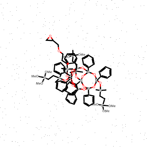 CO[Si](C)(CC[Si](C)(C)O[Si]1(c2ccccc2)O[Si]2(c3ccccc3)O[Si](O[Si](C)(C)CC[Si](OC)(OC)OC)(c3ccccc3)O[Si](c3ccccc3)(O1)O[Si]1(c3ccccc3)O[Si](O[Si](C)(C)CCCOCC3CO3)(c3ccccc3)O[Si](c3ccccc3)(O[Si](O[Si](C)(C)CC[Si](OC)(OC)OC)(c3ccccc3)O1)O2)OC